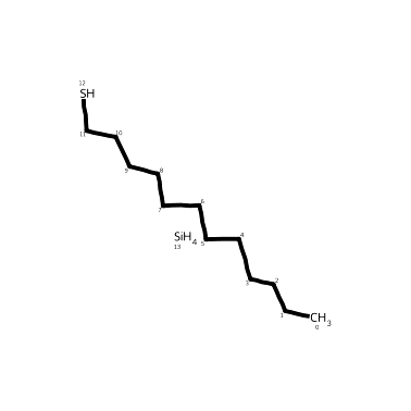 CCCCCCCCCCCCS.[SiH4]